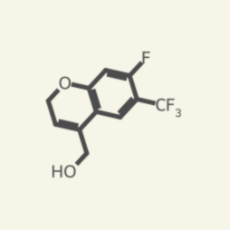 OCC1=CCOc2cc(F)c(C(F)(F)F)cc21